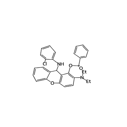 CCN(CC)c1ccc2c(c1OC(=O)c1ccccc1)C(Nc1ccccc1Cl)c1ccccc1O2